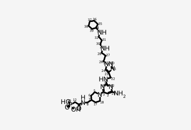 Nc1cc(N2CCC(CNC(=O)CP(=O)(O)O)CC2)nc(NCc2cn(CCCNCCCNC3CCCCC3)nn2)n1